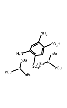 CCCCN(CCCC)CCCC.CCCCN(CCCC)CCCC.Nc1cc(N)c(S(=O)(=O)O)cc1S(=O)(=O)O